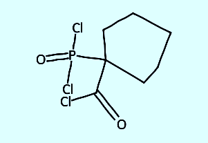 O=C(Cl)C1(P(=O)(Cl)Cl)CCCCC1